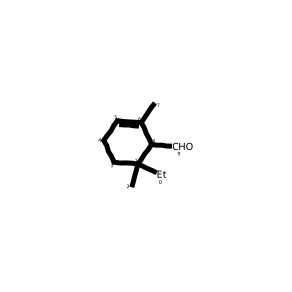 CCC1(C)CCC=C(C)C1C=O